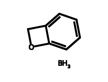 B.c1ccc2c(c1)CO2